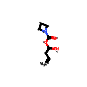 C=CCC(O)OC(=O)N1CCC1